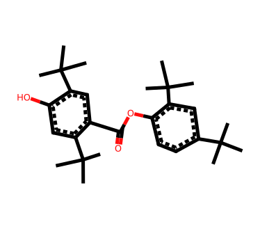 CC(C)(C)c1ccc(OC(=O)c2cc(C(C)(C)C)c(O)cc2C(C)(C)C)c(C(C)(C)C)c1